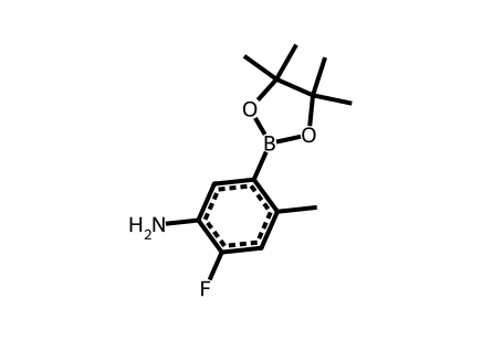 Cc1cc(F)c(N)cc1B1OC(C)(C)C(C)(C)O1